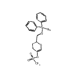 CC(C)(C)[Si](OCC1CCC(OS(=O)(=O)C(F)(F)F)=CO1)(c1ccccc1)c1ccccc1